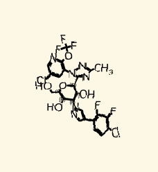 Cc1nc([C@@H]2O[C@H](CO)[C@H](O)[C@H](n3cc(-c4ccc(Cl)c(F)c4F)cn3)[C@H]2O)n(-c2cc(Cl)cnc2OC(F)(F)F)n1